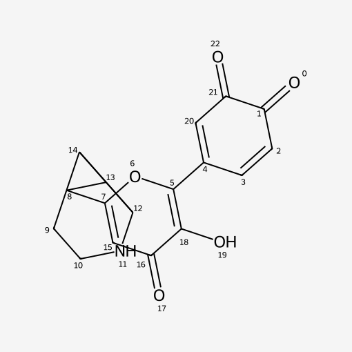 O=C1C=CC(c2oc(C34CCNC5C3C54)cc(=O)c2O)=CC1=O